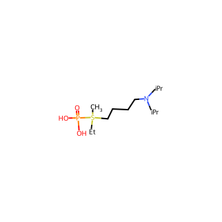 CCS(C)(CCCCN(C(C)C)C(C)C)P(=O)(O)O